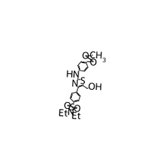 CCN(CC)S(=O)(=O)c1ccc(-c2nc(Nc3ccc(S(C)(=O)=O)cc3)sc2CO)cc1